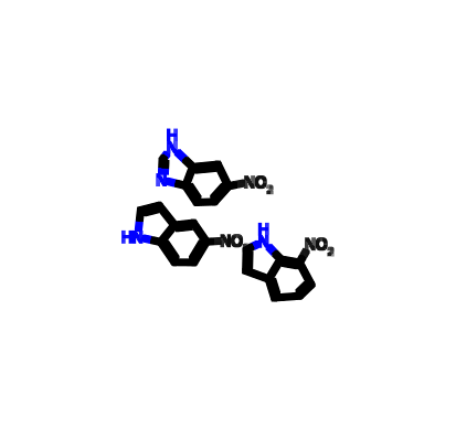 O=[N+]([O-])c1ccc2[nH]ccc2c1.O=[N+]([O-])c1ccc2nc[nH]c2c1.O=[N+]([O-])c1cccc2cc[nH]c12